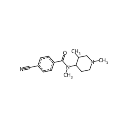 CC1CN(C)CCC1N(C)C(=O)c1ccc(C#N)cc1